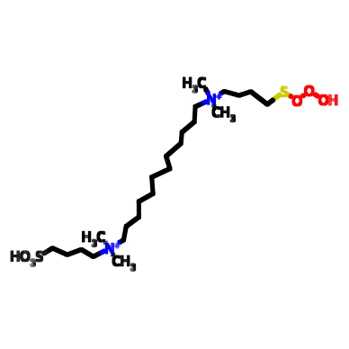 C[N+](C)(CCCCCCCCCCCC[N+](C)(C)CCCCS(=O)(=O)O)CCCCSOOO